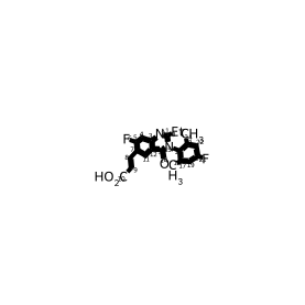 CCc1nc2cc(F)c(C=CC(=O)O)cc2c(=O)n1-c1c(C)cc(F)cc1C